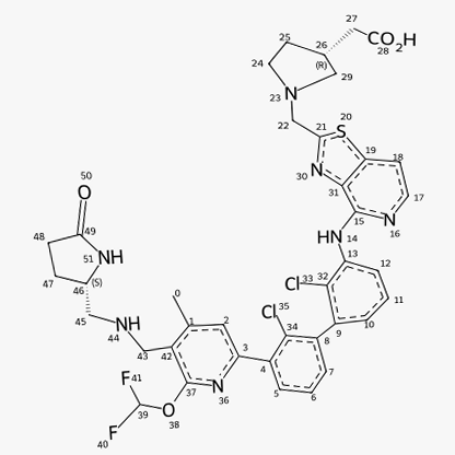 Cc1cc(-c2cccc(-c3cccc(Nc4nccc5sc(CN6CC[C@H](CC(=O)O)C6)nc45)c3Cl)c2Cl)nc(OC(F)F)c1CNC[C@@H]1CCC(=O)N1